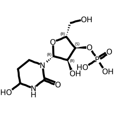 O=C1NC(O)CCN1[C@@H]1O[C@H](CO)[C@@H](OP(=O)(O)O)[C@H]1O